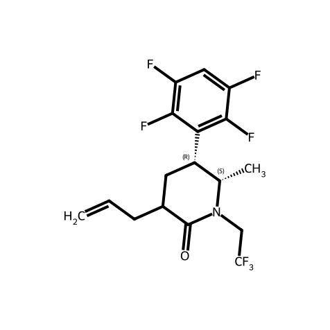 C=CCC1C[C@H](c2c(F)c(F)cc(F)c2F)[C@H](C)N(CC(F)(F)F)C1=O